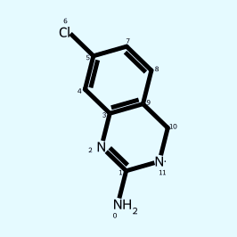 NC1=Nc2cc(Cl)ccc2C[N]1